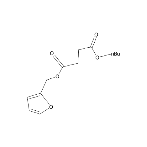 CCCCOC(=O)CCC(=O)OCc1ccco1